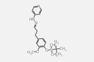 COc1cc(CCC=NNc2ccncc2)ccc1O[Si](C)(C)C(C)(C)C